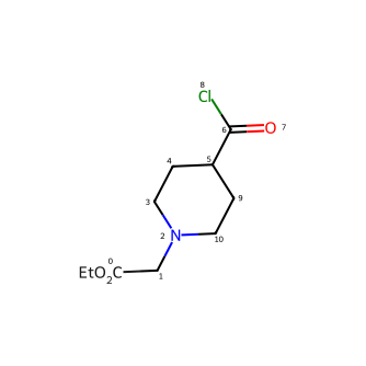 CCOC(=O)CN1CCC(C(=O)Cl)CC1